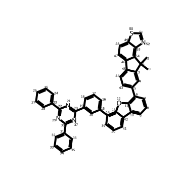 CC1(C)c2cc(-c3cccc4c3oc3c(-c5cccc(-c6nc(-c7ccccc7)nc(-c7ccccc7)n6)c5)cccc34)ccc2-c2ccc3scnc3c21